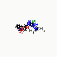 CCC1OC(n2cnc3c2N=C(/N=C/N(C)C)NC3Cl)CC1OCc1ccccc1[N+](=O)[O-]